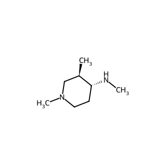 CN[C@@H]1CCN(C)C[C@H]1C